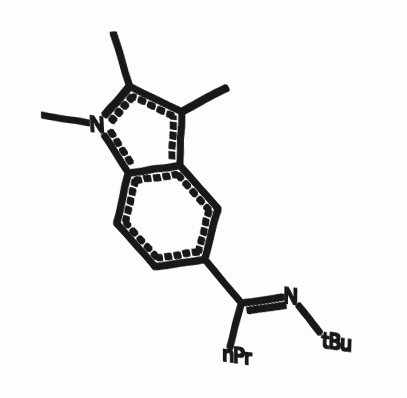 CCCC(=NC(C)(C)C)c1ccc2c(c1)c(C)c(C)n2C